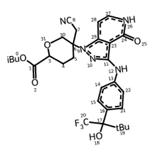 CC(C)COC(=O)C1CCC(CC#N)(n2nc(Nc3ccc(C(O)(C(C)(C)C)C(F)(F)F)cc3)c3c(=O)[nH]ccc32)CO1